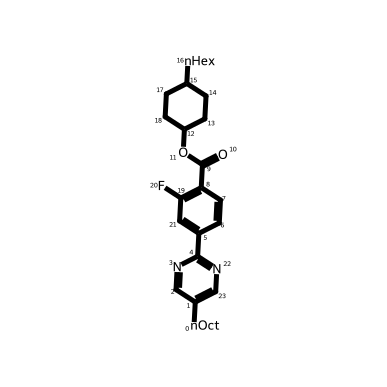 CCCCCCCCc1cnc(-c2ccc(C(=O)OC3CCC(CCCCCC)CC3)c(F)c2)nc1